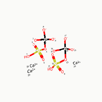 O=S(=O)(O)O[Si]([O-])([O-])[O-].O=S(=O)(O)O[Si]([O-])([O-])[O-].[Ca+2].[Ca+2].[Ca+2]